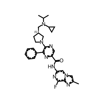 Cc1cn2cc(NC(=O)c3cnc(N4CC[C@@H](CN(C(C)C)C5CC5)C4)c(-c4ccccc4)n3)nc(F)c2n1